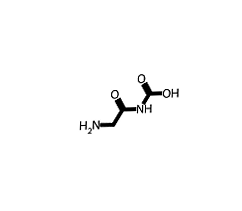 NCC(=O)NC(=O)O